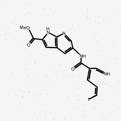 COC(=O)c1cc2cc(NC(=O)/C(C=N)=C/C=C\I)cnc2[nH]1